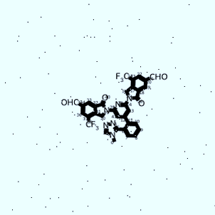 Cn1cnnc1-c1ccccc1-c1cc(N2Cc3c(cc(C=O)cc3C(F)(F)F)C2=O)nc(N2Cc3c(cc(C=O)cc3C(F)(F)F)C2=O)c1